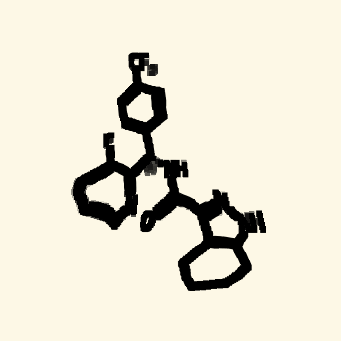 O=C(N[C@@H](c1ccc(C(F)(F)F)cc1)c1ncccc1F)c1n[nH]c2c1CCCC2